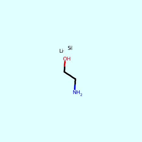 NCCO.[Li].[Si]